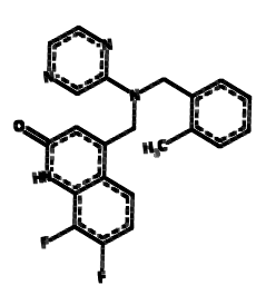 Cc1ccccc1CN(Cc1cc(=O)[nH]c2c(F)c(F)ccc12)c1cnccn1